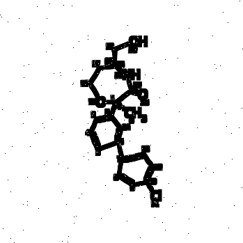 C[C@]1(c2cccc(-c3ccc(Cl)cc3)c2)OCC[C@@H](CO)NC1=O